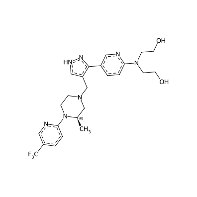 C[C@@H]1CN(Cc2c[nH]nc2-c2ccc(N(CCO)CCO)nc2)CCN1c1ccc(C(F)(F)F)cn1